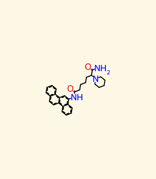 NC(=O)C(CCCCC(=O)Nc1cc2c3ccccc3ccc2c2ccccc12)N1CCCCC1